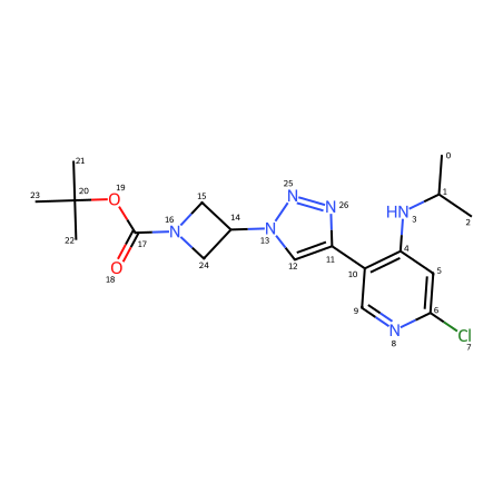 CC(C)Nc1cc(Cl)ncc1-c1cn(C2CN(C(=O)OC(C)(C)C)C2)nn1